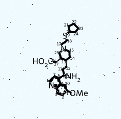 COc1ccc2nccc(C(N)CC[C@@H]3CCN(CCSC4CCCC4)C[C@@H]3CC(=O)O)c2c1